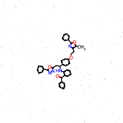 Cc1oc(-c2ccccc2)nc1CCOc1ccc(C(Cc2nnc(-c3ccccc3)o2)Nc2ccccc2C(=O)c2ccccc2)cc1